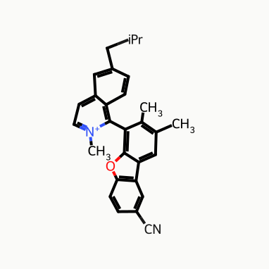 Cc1cc2c(oc3ccc(C#N)cc32)c(-c2c3ccc(CC(C)C)cc3cc[n+]2C)c1C